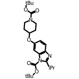 CC(C)c1nc2ccc(OC3CCN(C(=O)OC(C)(C)C)CC3)cc2n1C(=O)OC(C)(C)C